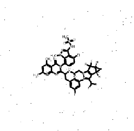 Cc1cc(C)c2c(=O)n(-c3ccc(Cl)c4c(NS(C)(=O)=O)nn(C)c34)c(C(Cc3cc(F)cc(F)c3)NC(=O)Cn3nc(C(F)F)c4c3C(F)(F)[C@@H]3C[C@H]43)nc2n1